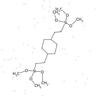 CO[Si](CCC1CCC(CC[Si](OC)(OC)OC)CC1)(OC)OC